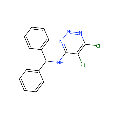 Clc1nnnc(NC(c2ccccc2)c2ccccc2)c1Cl